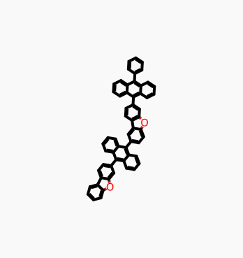 c1ccc(-c2c3ccccc3c(-c3ccc4c(c3)oc3ccc(-c5c6ccccc6c(-c6ccc7c(c6)oc6ccccc67)c6ccccc56)cc34)c3ccccc23)cc1